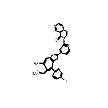 Cc1cc2nc(-c3ccnc(-n4ccc5ccncc5c4=O)c3)sc2c(-c2ccc(Cl)cc2)c1CC(=O)O